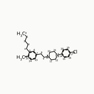 CCCCCc1cc(CCN2CCN(c3ccc(Cl)cc3)CC2)ccc1C